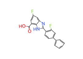 O=C(O)c1cc(F)cc2nc(-c3ccc(-c4ccccc4)cc3F)[nH]c12